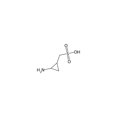 NC1CC1CS(=O)(=O)O